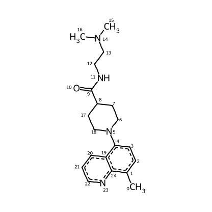 Cc1ccc(N2CCC(C(=O)NCCN(C)C)CC2)c2cccnc12